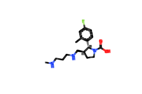 CNCCCNC[C@@H]1CCN(C(=O)O)[C@H]1c1ccc(F)cc1C